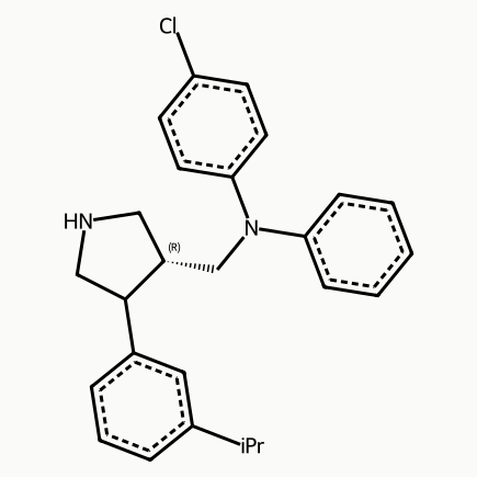 CC(C)c1cccc(C2CNC[C@@H]2CN(c2ccccc2)c2ccc(Cl)cc2)c1